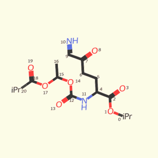 CC(C)OC(=O)C(CCC(=O)C=N)NC(=O)OC(C)OC(=O)C(C)C